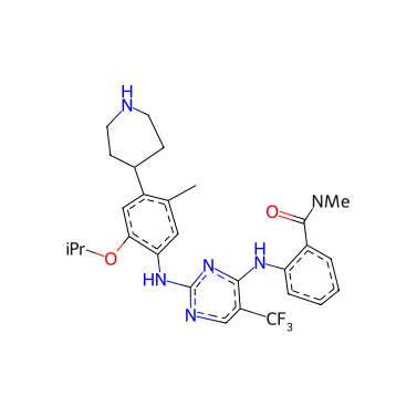 CNC(=O)c1ccccc1Nc1nc(Nc2cc(C)c(C3CCNCC3)cc2OC(C)C)ncc1C(F)(F)F